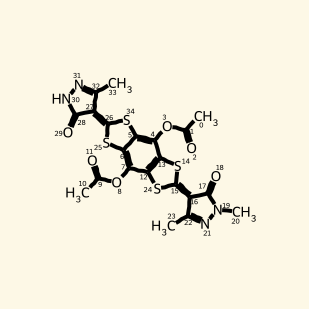 CC(=O)Oc1c2c(c(OC(C)=O)c3c1SC(=C1C(=O)N(C)N=C1C)S3)SC(=C1C(=O)NN=C1C)S2